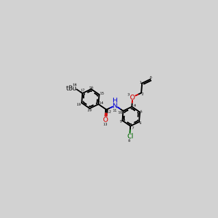 C=CCOc1ccc(Cl)cc1NC(=O)c1ccc(C(C)(C)C)cc1